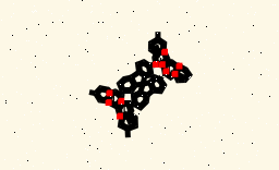 Cc1ccc(N(c2ccccc2)c2ccc3c(c2)C2(c4cc(N(c5ccccc5)c5ccc(C)cc5)ccc4-3)c3cc(N(c4ccc(C)cc4)c4ccc(C)cc4)ccc3-c3ccc(N(c4ccc(C)cc4)c4ccc(C)cc4)cc32)cc1